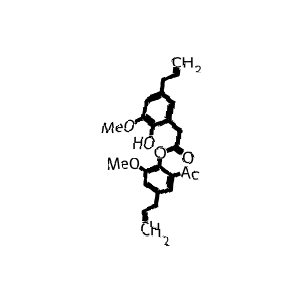 C=CCc1cc(CC(=O)Oc2c(OC)cc(CC=C)cc2C(C)=O)c(O)c(OC)c1